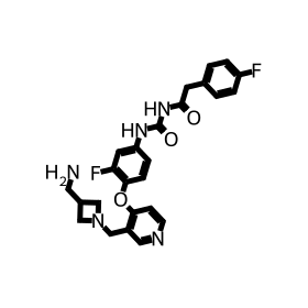 NCC1CN(Cc2cnccc2Oc2ccc(NC(=O)NC(=O)Cc3ccc(F)cc3)cc2F)C1